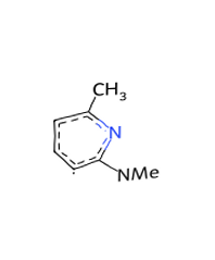 CNc1[c]ccc(C)n1